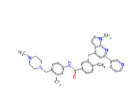 Cc1ccc(C(=O)Nc2ccc(CN3CCN(C)CC3)c(C(F)(F)F)c2)cc1Cc1cc(-c2cccnc2)nc2c1ccn2C